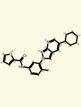 O=C(Nc1ccc(F)c(-n2cc3cc(C4CCCCC4)cnc3n2)c1)c1ccco1